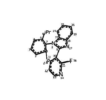 CC(C)c1cccc(C(C)C)c1-n1c(-c2cccnc2F)nc2ccccc21